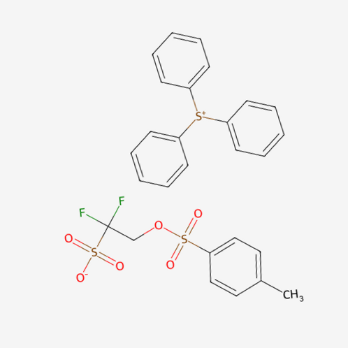 Cc1ccc(S(=O)(=O)OCC(F)(F)S(=O)(=O)[O-])cc1.c1ccc([S+](c2ccccc2)c2ccccc2)cc1